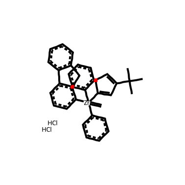 Cl.Cl.[CH2]=[Zr]([C]1=CC(C(C)(C)C)=CC1)([c]1ccccc1)([c]1ccccc1)[c]1cccc2c1Cc1ccccc1-2